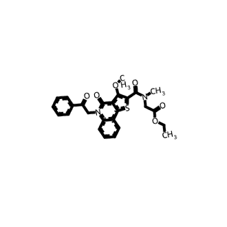 CCOC(=O)CN(C)C(=O)c1sc2c(c1OC)c(=O)n(CC(=O)c1ccccc1)c1ccccc21